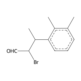 Cc1cccc(C(C)C(Br)C=O)c1C